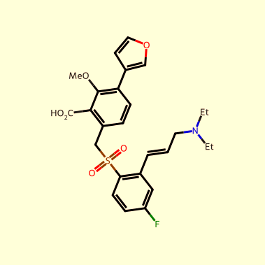 CCN(CC)CC=Cc1cc(F)ccc1S(=O)(=O)Cc1ccc(-c2ccoc2)c(OC)c1C(=O)O